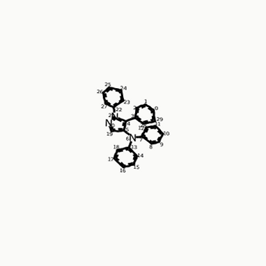 c1ccc(-c2c(N(c3ccccc3)c3ccccc3)cnn2-c2ccccc2)cc1